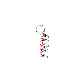 [SiH3]O[SiH2]O[SiH2]O[SiH2]O[SiH2]O[SiH2]C1CCCCCCCCCCC1